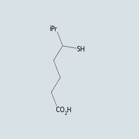 CC(C)C(S)CCCC(=O)O